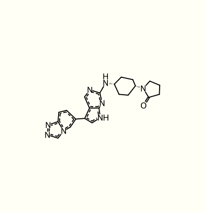 O=C1CCCN1[C@H]1CC[C@@H](Nc2ncc3c(-c4ccc5nncn5c4)c[nH]c3n2)CC1